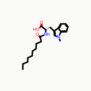 CCCCCCCCCC(=O)N[C@@H](Cc1cn(C)c2ccccc12)C(=O)O